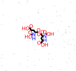 O=C(O)CCC(NC(=O)O)C(=O)OC(=O)C(CCC(=O)O)NC(=O)O